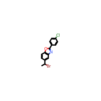 CC(Br)c1ccc2oc(-c3ccc(Cl)cc3)nc2c1